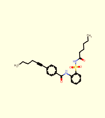 CCCCC#Cc1ccc(C(=O)Nc2ccccc2S(=O)(=O)NC(=O)CCCCC)cc1